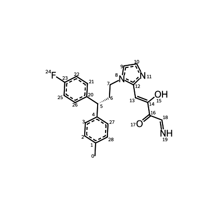 Cc1ccc([C@@H](CCn2ccnc2/C=C(\O)C(=O)C=N)c2ccc(F)cc2)cc1